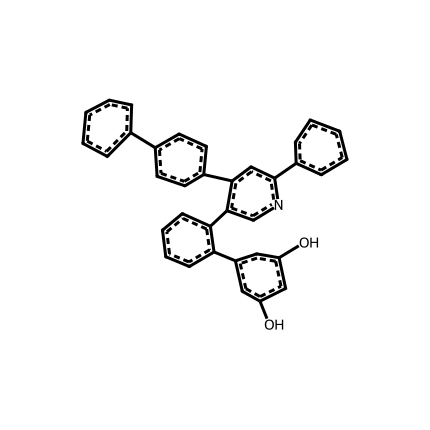 Oc1cc(O)cc(-c2ccccc2-c2cnc(-c3ccccc3)cc2-c2ccc(-c3ccccc3)cc2)c1